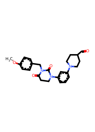 COc1ccc(CN2C(=O)CCN(c3cccc(N4CCC(C=O)CC4)c3)C2=O)cc1